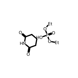 CCOP(=O)(O)OCC.O=C1CCCC(=O)N1